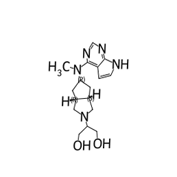 CN(c1ncnc2[nH]ccc12)[C@@H]1C[C@@H]2CN(C(CO)CO)C[C@@H]2C1